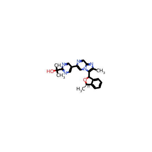 Cc1nc2cnc(-c3cnc(C(C)(C)O)nc3)cn2c1C1O[C@@H](C)c2ccccc21